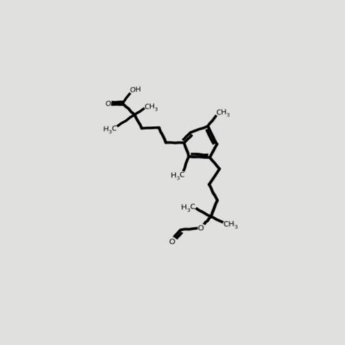 Cc1cc(CCCC(C)(C)OC=O)c(C)c(CCCC(C)(C)C(=O)O)c1